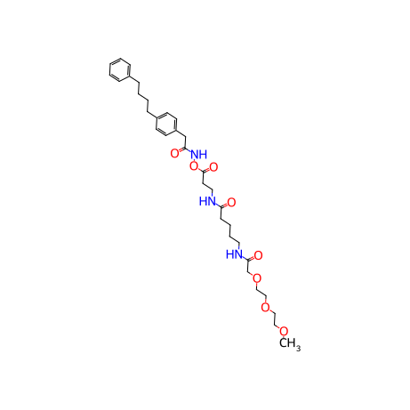 COCCOCCOCC(=O)NCCCCC(=O)NCCC(=O)ONC(=O)Cc1ccc(CCCCc2ccccc2)cc1